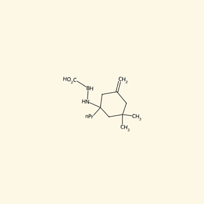 C=C1CC(C)(C)CC(CCC)(NBC(=O)O)C1